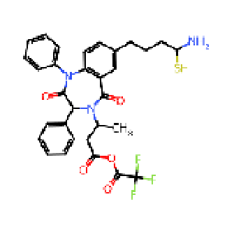 CC(CC(=O)OC(=O)C(F)(F)F)N1C(=O)c2cc(CCCC(N)S)ccc2N(c2ccccc2)C(=O)C1c1ccccc1